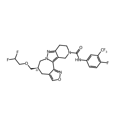 O=C(Nc1ccc(F)c(C(F)(F)F)c1)N1CCc2nn3c(c2C1)-c1nocc1C[C@@H](COCC(F)F)C3